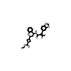 CCOC(=O)C1CC(C2CC(NC(=O)C3C(c4ccc5c(c4)OCO5)C3(F)F)c3ccccc3O2)C1